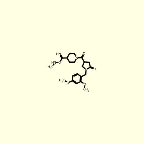 CNOC(=N)C1CCN(C(=O)C2CC(=O)N(Cc3ccc(OC)cc3OC)C2)CC1